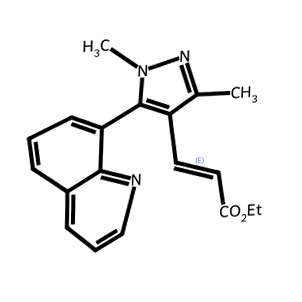 CCOC(=O)/C=C/c1c(C)nn(C)c1-c1cccc2cccnc12